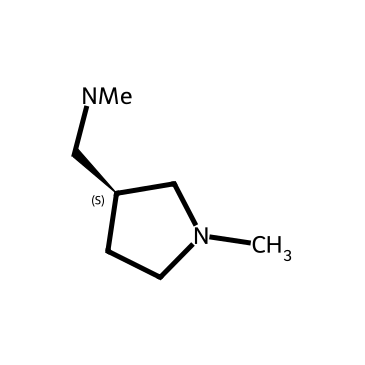 CNC[C@@H]1CCN(C)C1